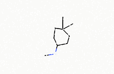 CCNC1CCC(C)(C)CC1